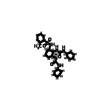 Cc1ccccc1S(=O)(=O)Nc1cccc(NC(=O)Nc2ccccc2)c1NC(=O)Nc1ccccc1